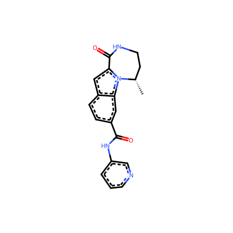 C[C@H]1CCNC(=O)c2cc3ccc(C(=O)Nc4cccnc4)cc3n21